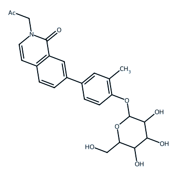 CC(=O)Cn1ccc2ccc(-c3ccc(OC4OC(CO)C(O)C(O)C4O)c(C)c3)cc2c1=O